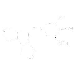 CC(C)(C)c1cc(CP2(=O)Oc3ccccc3C3=C2C=CCC3)cc(C(C)(C)C)c1O